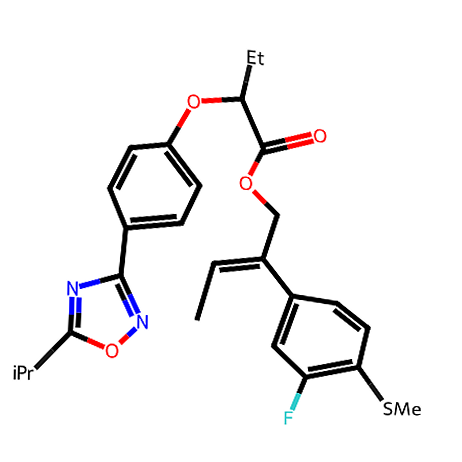 CC=C(COC(=O)C(CC)Oc1ccc(-c2noc(C(C)C)n2)cc1)c1ccc(SC)c(F)c1